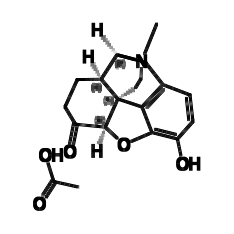 CC(=O)O.CN1CC[C@]23c4c5ccc(O)c4O[C@H]2C(=O)CC[C@H]3[C@H]1C5